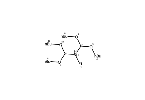 CCCCOC(OCCCC)[SiH](CC)C(OCCCC)OCCCC